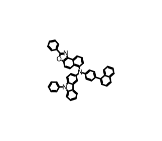 c1ccc(-c2nc3c(ccc4c(N(c5ccc(-c6cccc7ccccc67)cc5)c5ccc6c(c5)c5ccccc5n6-c5ccccc5)cccc43)o2)cc1